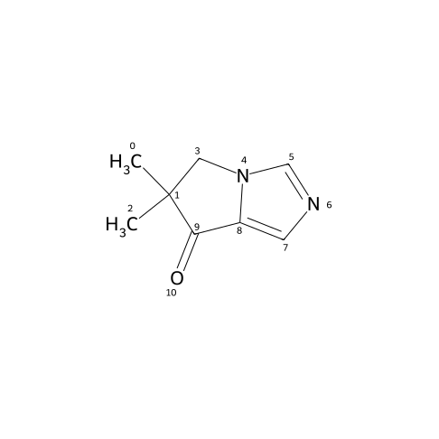 CC1(C)Cn2cncc2C1=O